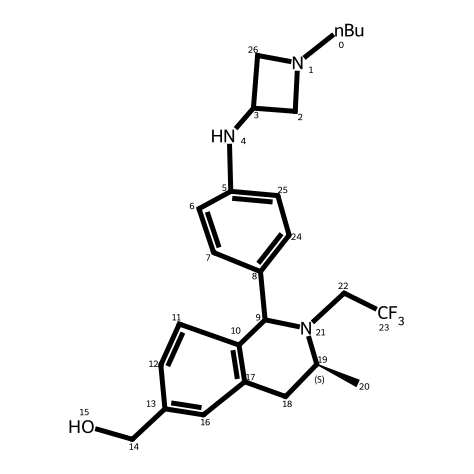 CCCCN1CC(Nc2ccc(C3c4ccc(CO)cc4C[C@H](C)N3CC(F)(F)F)cc2)C1